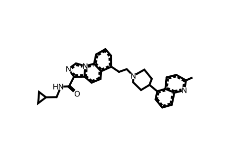 Cc1ccc2c(C3CCN(CCc4cccc5c4ccc4c(C(=O)NCC6CC6)ncn45)CC3)cccc2n1